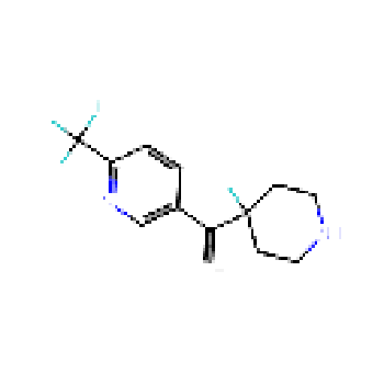 C=C(c1ccc(C(F)(F)F)nc1)C1(F)CCNCC1